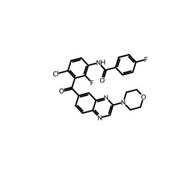 O=C(Nc1ccc(Cl)c(C(=O)c2ccc3ncc(N4CCOCC4)nc3c2)c1F)c1ccc(F)cc1